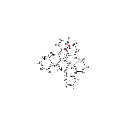 c1ccc(-c2nc3c(c(-c4ccccc4)cc4ncccc43)c(-c3ccccc3)c2-c2ccccc2)cc1